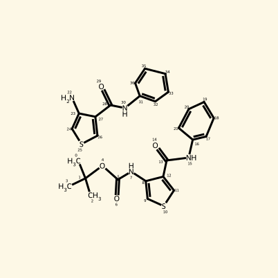 CC(C)(C)OC(=O)Nc1cscc1C(=O)Nc1ccccc1.Nc1cscc1C(=O)Nc1ccccc1